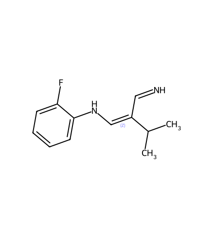 CC(C)/C(C=N)=C/Nc1ccccc1F